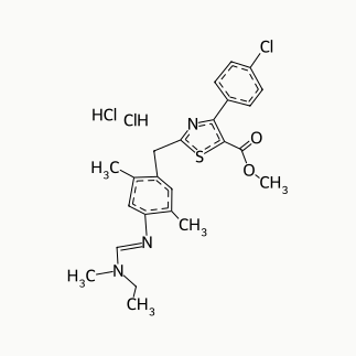 CCN(C)/C=N/c1cc(C)c(Cc2nc(-c3ccc(Cl)cc3)c(C(=O)OC)s2)cc1C.Cl.Cl